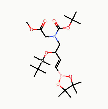 COC(=O)CN(CC(/C=C/B1OC(C)(C)C(C)(C)O1)O[Si](C)(C)C(C)(C)C)C(=O)OC(C)(C)C